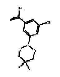 CC1(C)COB(c2cc(C#N)cc(C(N)=O)c2)OC1